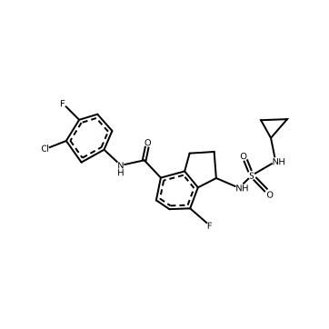 O=C(Nc1ccc(F)c(Cl)c1)c1ccc(F)c2c1CCC2NS(=O)(=O)NC1CC1